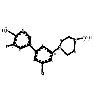 Nc1ncc(-c2cc(Cl)cc(N3CCN(C(=O)O)CC3)c2)cc1F